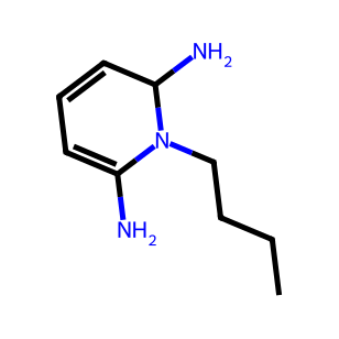 CCCCN1C(N)=CC=CC1N